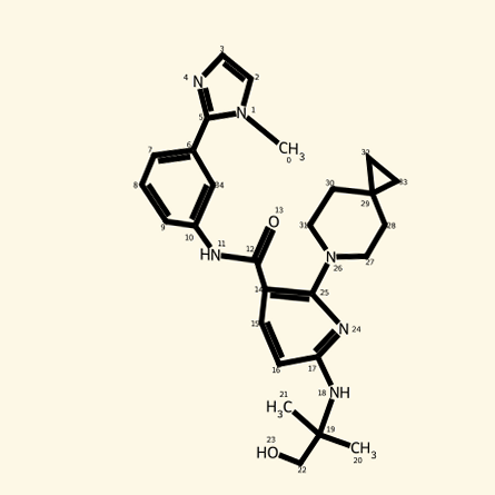 Cn1ccnc1-c1cccc(NC(=O)c2ccc(NC(C)(C)CO)nc2N2CCC3(CC2)CC3)c1